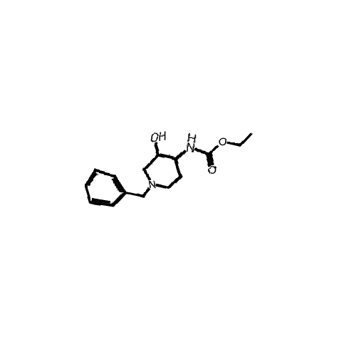 CCOC(=O)NC1CCN(Cc2ccccc2)CC1O